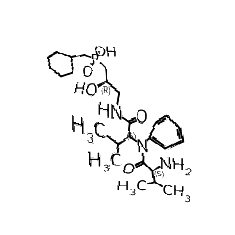 CC(C)[C@H](N)C(=O)N(c1ccccc1)[C@H](C(=O)NC[C@@H](O)CP(=O)(O)CC1CCCCC1)C(C)C